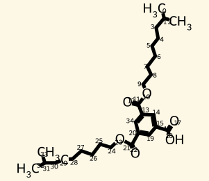 CC(C)CCCCCCCOC(=O)c1cc(C(=O)O)cc(C(=O)OCCCCCCCC(C)C)c1